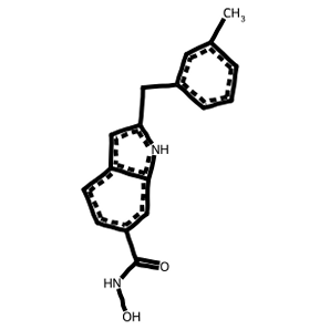 Cc1cccc(Cc2cc3ccc(C(=O)NO)cc3[nH]2)c1